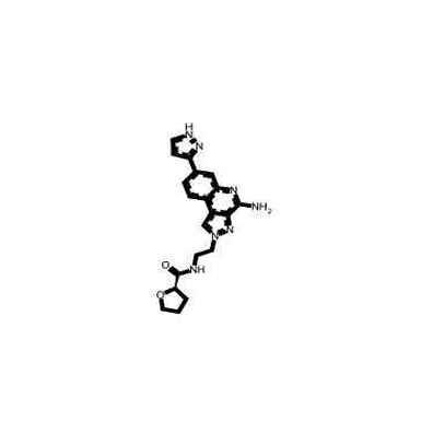 Nc1nc2cc(-c3cc[nH]n3)ccc2c2cn(CCNC(=O)[C@H]3CCCO3)nc12